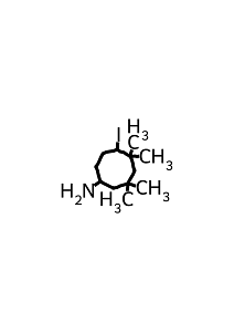 CC1(C)CC(N)CCC(I)C(C)(C)C1